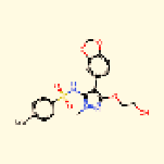 Cn1nc(OCCO)c(-c2ccc3c(c2)OCO3)c1NS(=O)(=O)c1ccc(C(C)(C)C)cc1